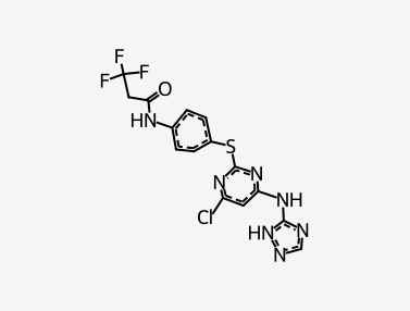 O=C(CC(F)(F)F)Nc1ccc(Sc2nc(Cl)cc(Nc3ncn[nH]3)n2)cc1